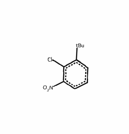 CC(C)(C)c1cccc([N+](=O)[O-])c1Cl